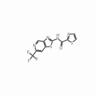 O=C(Nc1nc2cnc(C(F)(F)F)cc2s1)c1nccs1